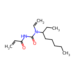 C=CC(=O)NC(=O)N(C=C)C(CC)CCCCC